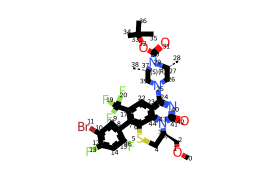 COC[C@H]1CSc2c(-c3cc(Br)c(F)cc3F)c(C(F)(F)F)cc3c(N4C[C@@H](C)N(C(=O)OC(C)(C)C)[C@@H](C)C4)nc(=O)n1c23